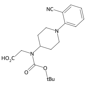 CC(C)(C)OC(=O)N(CC(=O)O)C1CCN(c2ccccc2C#N)CC1